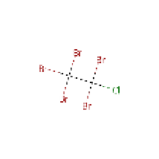 ClC(Br)(Br)C(Br)(Br)Br